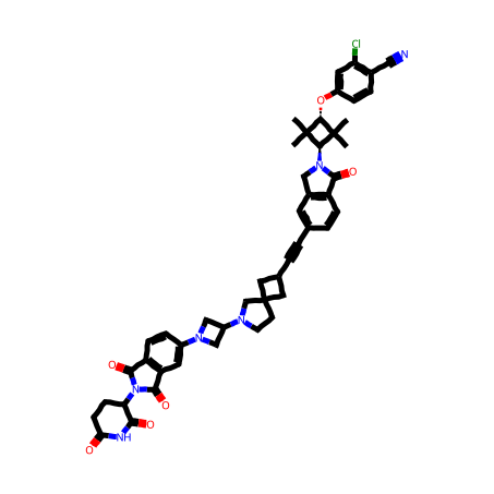 CC1(C)[C@H](Oc2ccc(C#N)c(Cl)c2)C(C)(C)[C@H]1N1Cc2cc(C#CC3CC4(CCN(C5CN(c6ccc7c(c6)C(=O)N(C6CCC(=O)NC6=O)C7=O)C5)C4)C3)ccc2C1=O